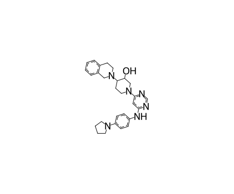 OC1CN(c2cc(Nc3ccc(N4CCCC4)cc3)ncn2)CCC1N1CCc2ccccc2C1